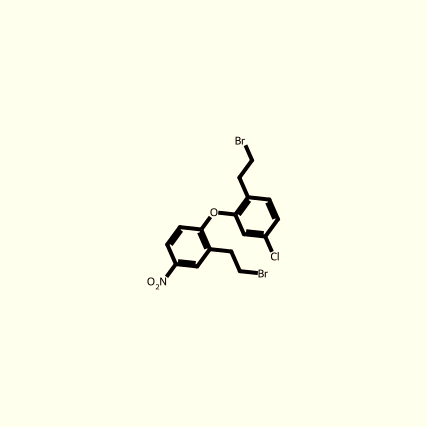 O=[N+]([O-])c1ccc(Oc2cc(Cl)ccc2CCBr)c(CCBr)c1